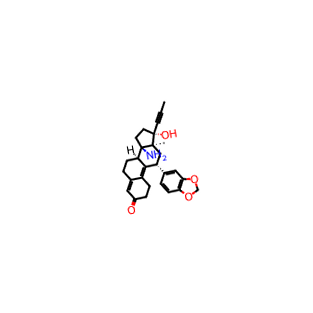 CC#C[C@]1(O)CC[C@@]2(N)[C@@H]3CCC4=CC(=O)CCC4=C3[C@@H](c3ccc4c(c3)OCO4)C[C@@]21C